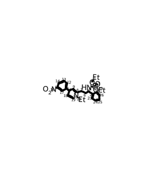 CCOP(=O)(NC(CCC1=CC(c2cccc([N+](=O)[O-])c2)C=CN1CC)c1ccccc1)OCC